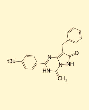 C=C1NC(c2ccc(C(C)(C)C)cc2)=Nc2c(Cc3ccccc3)c(=O)[nH]n21